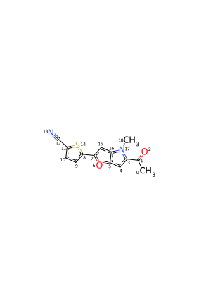 CC(=O)c1cc2oc(-c3ccc(C#N)s3)cc2n1C